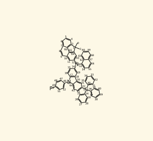 CC1(C)c2cccc3ccc4cc(N(c5ccc6c(c5)c5cc([Si](c7ccccc7)(c7ccccc7)c7ccccc7)ccc5n6-c5ccc(F)cc5)c5cccc6ccccc56)cc1c4c23